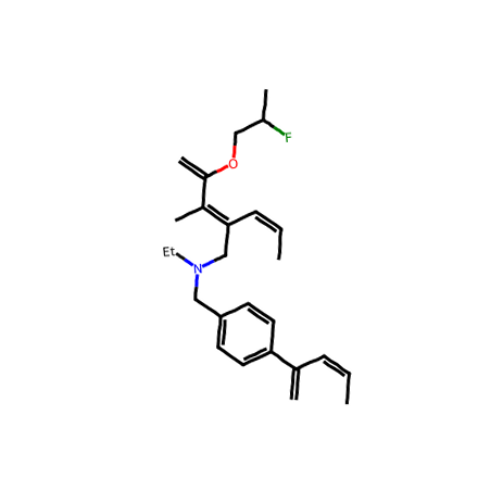 C=C(OCC(C)F)/C(C)=C(\C=C/C)CN(CC)Cc1ccc(C(=C)/C=C\C)cc1